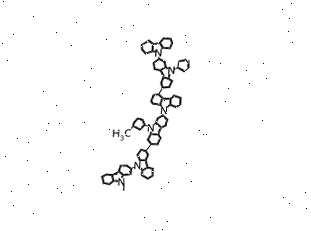 Cc1cccc(-n2c3cc(-c4ccc5c(c4)c4ccccc4n5-c4ccc5c6ccccc6n(I)c5c4)ccc3c3ccc(-n4c5ccccc5c5c(-c6ccc7c(c6)c6ccc(-n8c9ccccc9c9ccccc98)cc6n7C6=CC=IC=C6)cccc54)cc32)c1